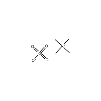 C[N+](C)(C)C.[O]=[Re](=[O])(=[O])[O-]